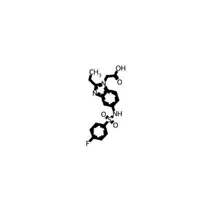 CCc1nc2cc(NS(=O)(=O)c3ccc(F)cc3)ccc2n1CC(=O)O